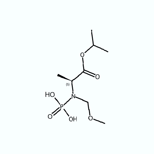 COCN([C@@H](C)C(=O)OC(C)C)P(=O)(O)O